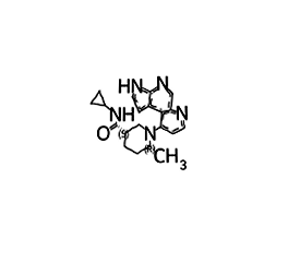 C[C@@H]1CC[C@H](C(=O)NC2CC2)CN1c1ccnc2cnc3[nH]ccc3c12